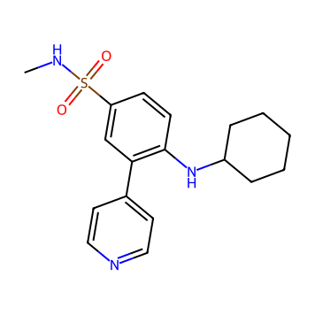 CNS(=O)(=O)c1ccc(NC2CCCCC2)c(-c2ccncc2)c1